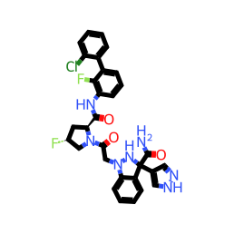 NC(=O)C1(c2cn[nH]c2)NN(CC(=O)N2C[C@H](F)C[C@H]2C(=O)Nc2cccc(-c3ccccc3Cl)c2F)c2ccccc21